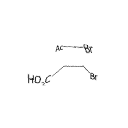 CC(=O)Br.O=C(O)CBr